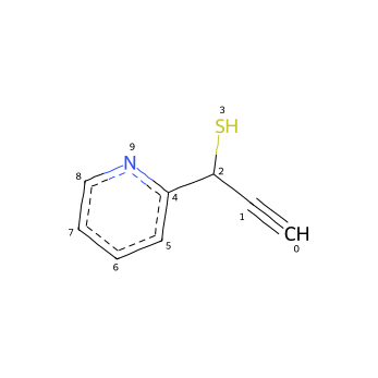 C#CC(S)c1ccccn1